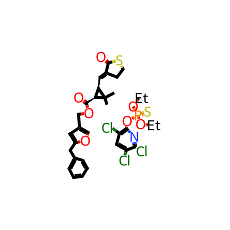 CC1(C)[C@H](/C=C2\CCSC2=O)[C@@H]1C(=O)OCc1coc(Cc2ccccc2)c1.CCOP(=S)(OCC)Oc1nc(Cl)c(Cl)cc1Cl